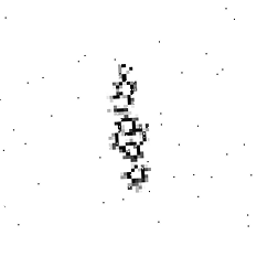 Brc1ccc2cc(-c3cc4ccc5cc(-c6ccccc6)cc6ccc(c3)c4c56)ccc2c1